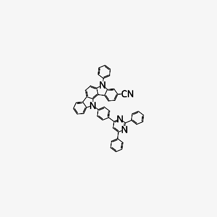 N#Cc1ccc2c3c(ccc4c5ccccc5n(-c5ccc(-c6cc(-c7ccccc7)nc(-c7ccccc7)n6)cc5)c43)n(-c3ccccc3)c2c1